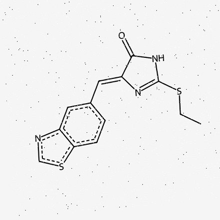 CCSC1=N/C(=C\c2ccc3scnc3c2)C(=O)N1